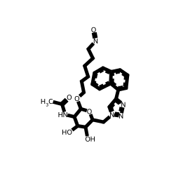 CC(=O)NC1C(OCCCCCCN=O)OC(Cn2cc(-c3cccc4ccccc34)nn2)C(O)C1O